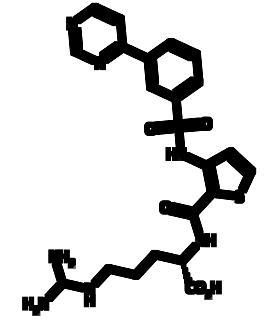 NC(N)NCCC[C@H](NC(=O)c1sccc1NS(=O)(=O)c1cccc(-c2ccncn2)c1)C(=O)O